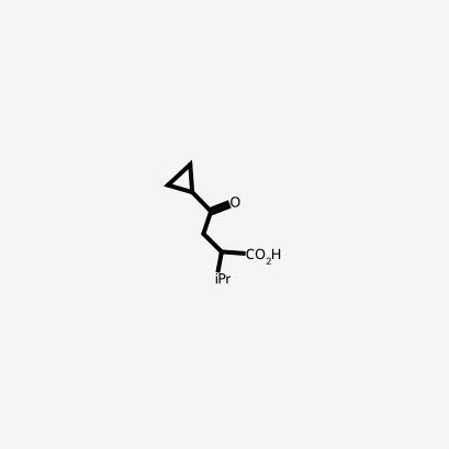 CC(C)C(CC(=O)C1CC1)C(=O)O